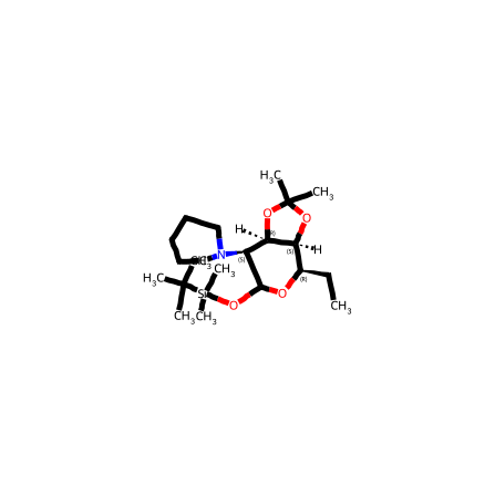 CC[C@H]1OC(O[Si](C)(C)C(C)(C)C)[C@@H](N2CCCCC2)[C@H]2OC(C)(C)O[C@H]21